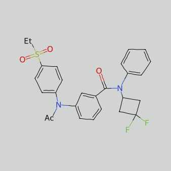 CCS(=O)(=O)c1ccc(N(C(C)=O)c2cccc(C(=O)N(c3ccccc3)C3CC(F)(F)C3)c2)cc1